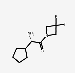 N[C@H](C(=O)N1CC(F)(F)C1)C1CCCC1